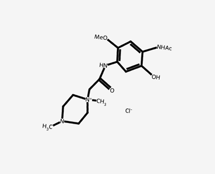 COc1cc(NC(C)=O)c(O)cc1NC(=O)C[N+]1(C)CCN(C)CC1.[Cl-]